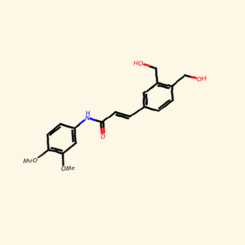 COc1ccc(NC(=O)/C=C/c2ccc(CO)c(CO)c2)cc1OC